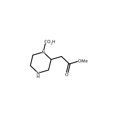 COC(=O)CC1CNCCN1C(=O)O